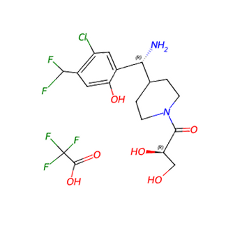 N[C@@H](c1cc(Cl)c(C(F)F)cc1O)C1CCN(C(=O)[C@H](O)CO)CC1.O=C(O)C(F)(F)F